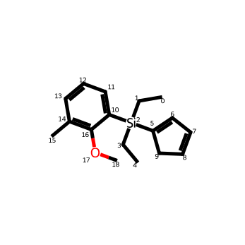 CC[Si](CC)(C1=CC=CC1)c1cccc(C)c1OC